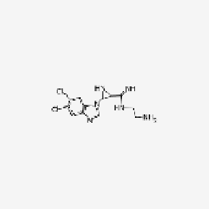 N=C(NCCN)C1NC1n1cnc2cc(Cl)c(Cl)cc21